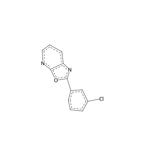 Clc1cccc(-c2nc3cccnc3o2)c1